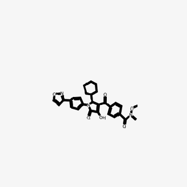 CON(C)C(=O)c1ccc(C(=O)C2=C(O)C(=O)N(c3ccc(-c4ccon4)cc3)C2C2CCCCC2)cc1